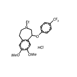 CCN1CCc2cc(OC)c(OC)cc2C(Oc2ccc(C(F)(F)F)cc2)C1.Cl